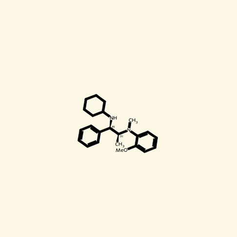 COc1ccccc1N(C)[C@@H](C)[C@H](NC1CCCCC1)c1ccccc1